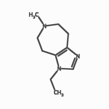 CCn1cnc2c1CCN(C)CC2